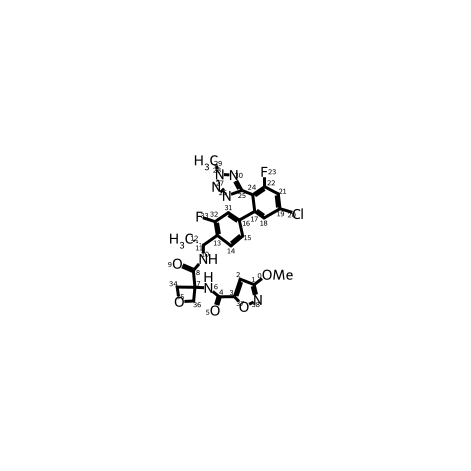 COc1cc(C(=O)NC2(C(=O)N[C@H](C)c3ccc(-c4cc(Cl)cc(F)c4-c4nnn(C)n4)cc3F)COC2)on1